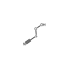 N#CSOO